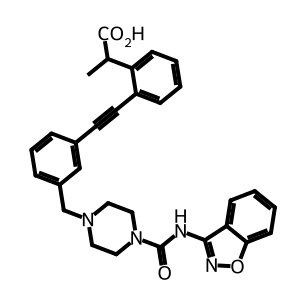 CC(C(=O)O)c1ccccc1C#Cc1cccc(CN2CCN(C(=O)Nc3noc4ccccc34)CC2)c1